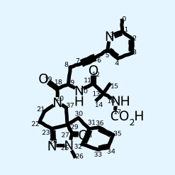 Cc1cccc(C#CCC(NC(=O)C(C)(C)NC(=O)O)C(=O)N2CCC3=NN(C)C(=O)C3(Cc3ccccc3)C2)n1